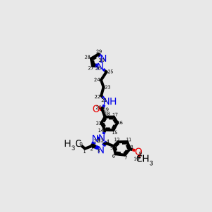 CCc1nc(-c2ccc(OC)cc2)n(-c2cccc(C(=O)NCCCCn3cccn3)c2)n1